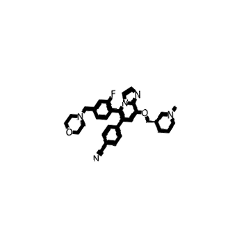 CN1CCC[C@@H](COc2cc(-c3ccc(C#N)cc3)c(-c3ccc(CN4CCOCC4)cc3F)n3ccnc23)C1